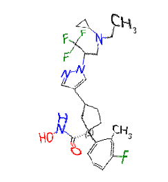 CCN(CC(n1cc(C2CC[C@@](C(=O)NO)(c3cccc(F)c3C)C2)cn1)C(F)(F)F)C1CC1